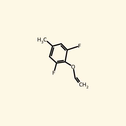 C=COc1c(F)cc(C)cc1F